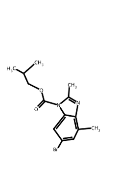 Cc1cc(Br)cc2c1nc(C)n2C(=O)OCC(C)C